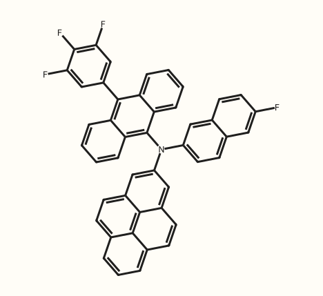 Fc1ccc2cc(N(c3cc4ccc5cccc6ccc(c3)c4c56)c3c4ccccc4c(-c4cc(F)c(F)c(F)c4)c4ccccc34)ccc2c1